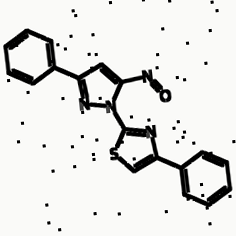 O=Nc1cc(-c2ccccc2)nn1-c1nc(-c2ccccc2)cs1